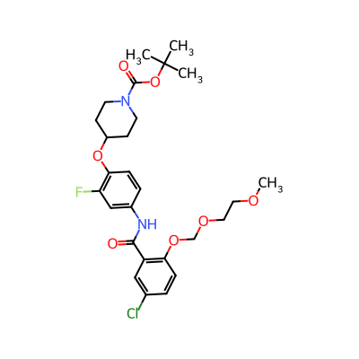 COCCOCOc1ccc(Cl)cc1C(=O)Nc1ccc(OC2CCN(C(=O)OC(C)(C)C)CC2)c(F)c1